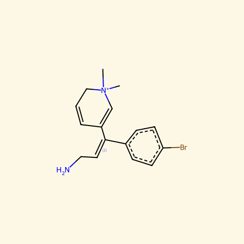 C[N+]1(C)C=C(/C(=C\CN)c2ccc(Br)cc2)C=CC1